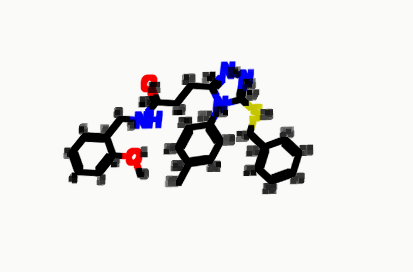 COc1ccccc1CNC(=O)CCc1nnc(SCc2ccccc2)n1-c1ccc(C)cc1